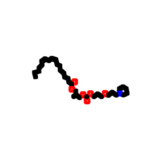 CCCCC/C=C\C/C=C\CCCCCCCC(=O)OCC(C)COC(=O)OCCCOCCCN1CCCCC1